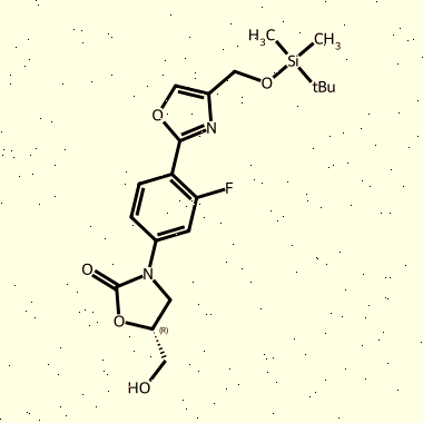 CC(C)(C)[Si](C)(C)OCc1coc(-c2ccc(N3C[C@H](CO)OC3=O)cc2F)n1